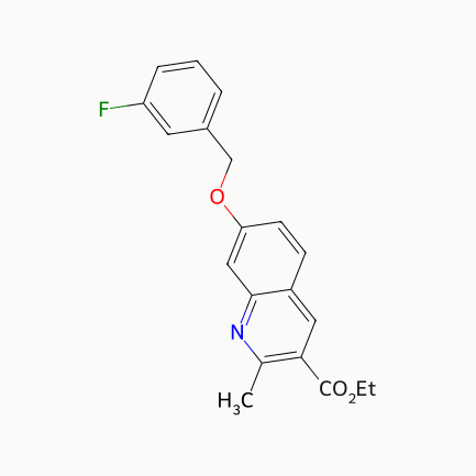 CCOC(=O)c1cc2ccc(OCc3cccc(F)c3)cc2nc1C